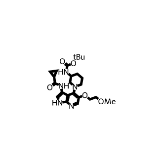 COCCOc1cnc2[nH]cc(NC(=O)C3CC3)c2c1N1CCCC(NC(=O)OC(C)(C)C)C1